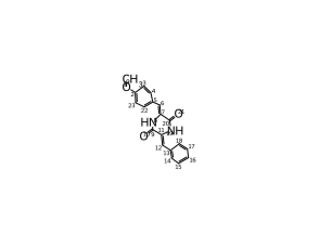 COc1ccc(C=c2[nH]c(=O)c(=Cc3ccccc3)[nH]c2=O)cc1